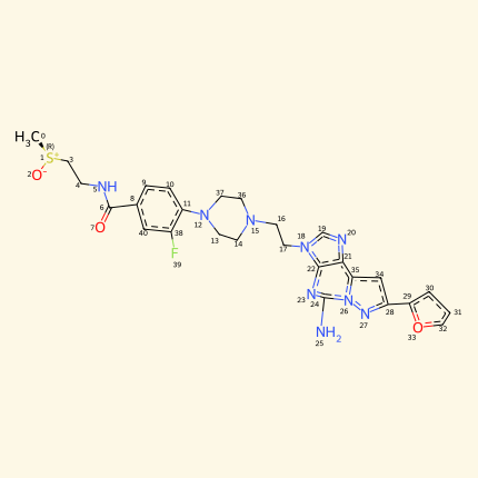 C[S@+]([O-])CCNC(=O)c1ccc(N2CCN(CCn3cnc4c3nc(N)n3nc(-c5ccco5)cc43)CC2)c(F)c1